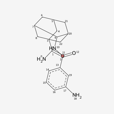 NC(=O)C12CC3CC(C1)C(NC(=O)c1cccc(N)c1)C(C3)C2